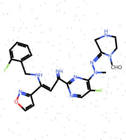 CN(/N=C1/CNCCN1C=O)c1nc(C(=N)/C=C(\NCc2ccccc2F)c2ccon2)ncc1F